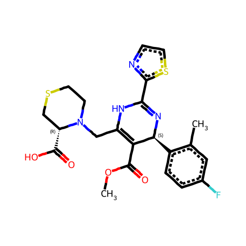 COC(=O)C1=C(CN2CCSC[C@H]2C(=O)O)NC(c2nccs2)=N[C@H]1c1ccc(F)cc1C